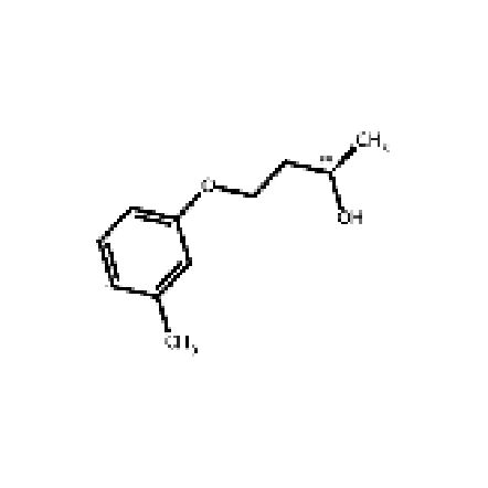 Cc1[c]ccc(OCC[C@@H](C)O)c1